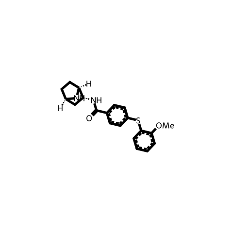 COc1ccccc1Sc1ccc(C(=O)N[C@@H]2C[C@H]3CC[C@@H]2N3)cc1